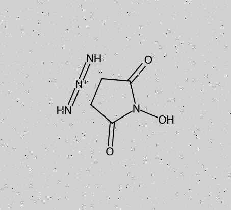 N=[N+]=N.O=C1CCC(=O)N1O